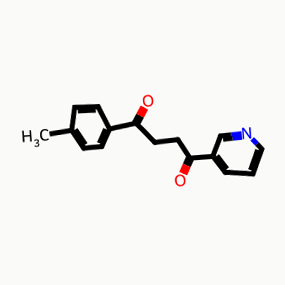 Cc1ccc(C(=O)CCC(=O)c2cccnc2)cc1